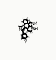 Fc1ccc(-c2ncn(C3CCCCC3)c2C2=C3C=CNC3NC=C2)cc1